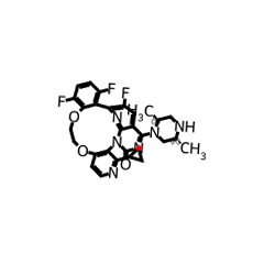 C[C@@H]1CN(c2nc(=O)n3c4nc(c(F)cc24)-c2c(F)ccc(F)c2OCCOc2ccnc(C4CC4)c2-3)[C@@H](C)CN1